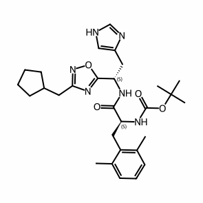 Cc1cccc(C)c1C[C@H](NC(=O)OC(C)(C)C)C(=O)N[C@@H](Cc1c[nH]cn1)c1nc(CC2CCCC2)no1